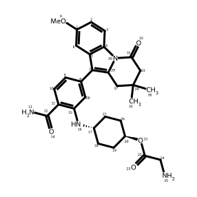 COc1ccc2c(c1)c(-c1ccc(C(N)=O)c(N[C@H]3CC[C@H](OC(=O)CN)CC3)c1)c1n2C(=O)CC(C)(C)C1